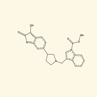 CC(C)(C)OC(=O)n1cc(CN2CCC(c3ccc4c(c3)=NC(=O)C=4O)C2)c2ccccc21